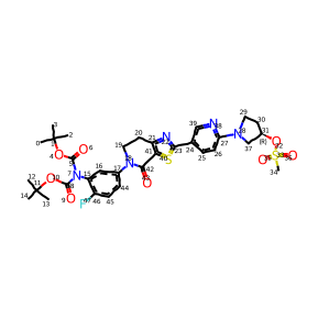 CC(C)(C)OC(=O)N(C(=O)OC(C)(C)C)c1cc(N2CCc3nc(-c4ccc(N5CC[C@@H](OS(C)(=O)=O)C5)nc4)sc3C2=O)ccc1F